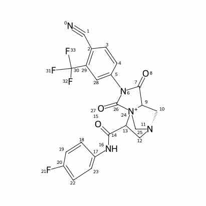 N#Cc1ccc(N2C(=O)C3C[N@]4CC(C(=O)Nc5ccc(F)cc5)[N+]3(C4)C2=O)cc1C(F)(F)F